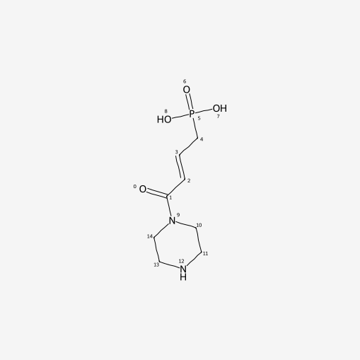 O=C(C=CCP(=O)(O)O)N1CCNCC1